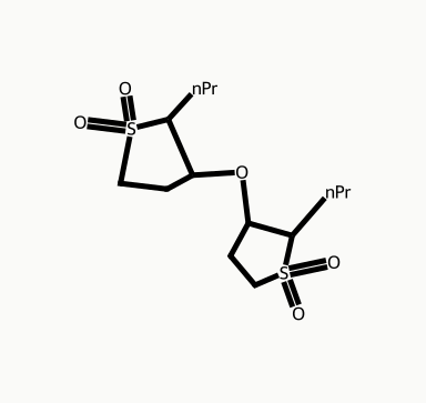 CCCC1C(OC2CCS(=O)(=O)C2CCC)CCS1(=O)=O